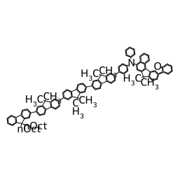 CCCCCCCCC1(CCCCCCCC)c2ccccc2-c2ccc(-c3ccc4c(c3)C(C)(C)c3cc(-c5ccc6c(c5)C(C)(C)c5cc(-c7ccc8c(c7)C(C)(C)c7cc(-c9ccc(N(c%10ccccc%10)c%10cc%11c(c%12ccccc%10%12)-c%10c(ccc%12c%10oc%10ccccc%10%12)C%11(C)C)cc9)ccc7-8)ccc5-6)ccc3-4)cc21